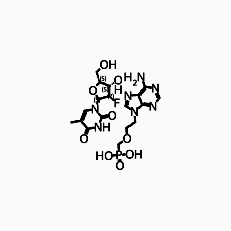 Cc1cn([C@H]2O[C@@H](CO)[C@H](O)[C@H]2F)c(=O)[nH]c1=O.Nc1ncnc2c1ncn2CCOCP(=O)(O)O